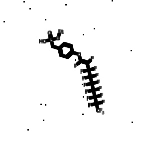 CCOP(=O)(O)Cc1ccc(OC(F)=C(F)C(F)(F)C(F)(F)C(F)(F)C(F)(F)C(F)(F)C(F)(F)C(F)(F)F)cc1